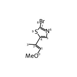 COC=C(C)c1cnc(Br)s1